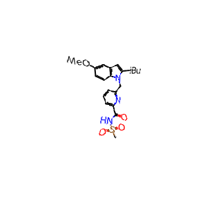 CCC(C)c1cc2cc(OC)ccc2n1Cc1cccc(C(=O)NS(C)(=O)=O)n1